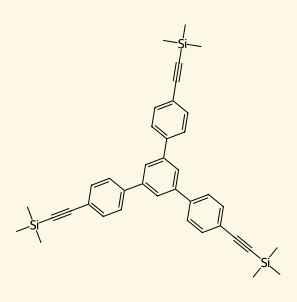 C[Si](C)(C)C#Cc1ccc(-c2cc(-c3ccc(C#C[Si](C)(C)C)cc3)cc(-c3ccc(C#C[Si](C)(C)C)cc3)c2)cc1